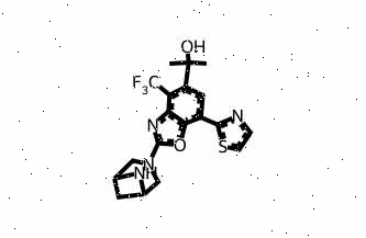 CC(C)(O)c1cc(-c2nccs2)c2oc(N3CC4CC(C3)N4)nc2c1C(F)(F)F